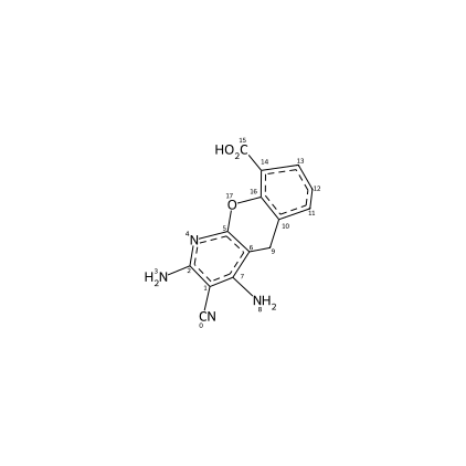 N#Cc1c(N)nc2c(c1N)Cc1cccc(C(=O)O)c1O2